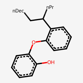 CCCCCCCCCCCC(CCC)c1ccccc1Oc1ccccc1O